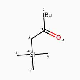 CC(C)(C)C(=O)C[Si](C)(C)C